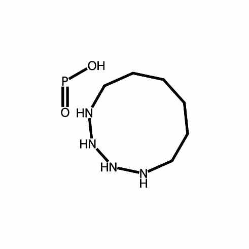 C1CCCNNNNCC1.O=PO